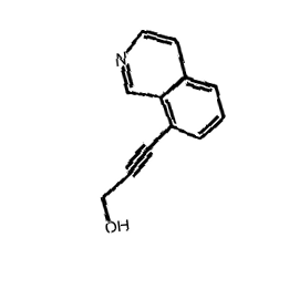 OCC#Cc1cccc2ccncc12